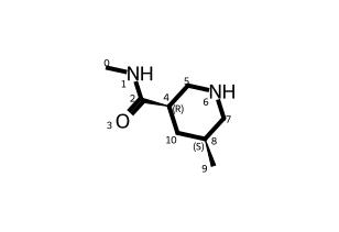 CNC(=O)[C@H]1CNC[C@@H](C)C1